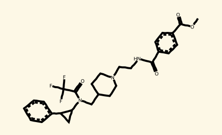 COC(=O)c1ccc(C(=O)NCCN2CCC(CN(C(=O)C(F)(F)F)C3CC3c3ccccc3)CC2)cc1